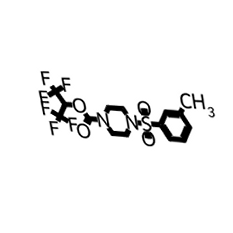 Cc1cccc(S(=O)(=O)N2CCN(C(=O)OC(C(F)(F)F)C(F)(F)F)CC2)c1